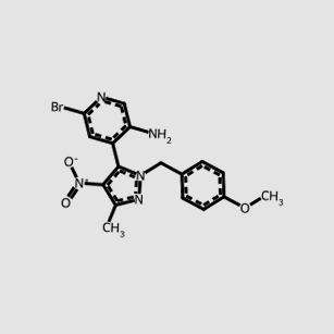 COc1ccc(Cn2nc(C)c([N+](=O)[O-])c2-c2cc(Br)ncc2N)cc1